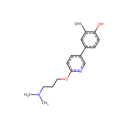 CN(C)CCCOc1ccc(-c2ccc(O)c(C=O)c2)cn1